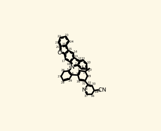 CC1C=C(C2=C(n3c4ccccc4c4cc5c(cc43)oc3ccccc35)CCC=C2)C=C(C2=CC(C#N)CC=N2)C1